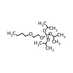 CCCCOCC[O][Ti]([O]C(C)C)([O]C(C)C)[O]C(C)C